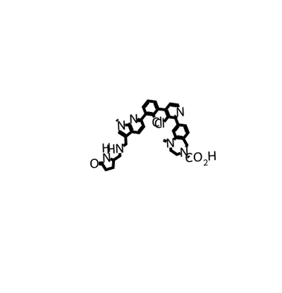 CN1CCN(C(=O)O)Cc2ccc(-c3nccc(-c4cccc(-c5ccc6c(CNCC7CCC(=O)N7)cn(C)c6n5)c4Cl)c3Cl)cc21